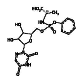 CCOC(=O)[C@H](C)NP(=O)(OCC1OC(n2ncc(=O)[nH]c2=O)C(O)C1O)Oc1ccccc1